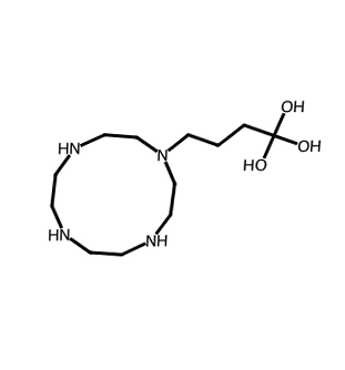 OC(O)(O)CCCN1CCNCCNCCNCC1